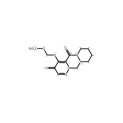 CCOC(=O)OCOc1c2n(ncc1=O)CN1CCCCN1C2=O